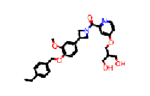 CCc1ccc(COc2ccc(C3CN(C(=O)c4cc(OCC(CO)CO)ccn4)C3)cc2OC)cc1